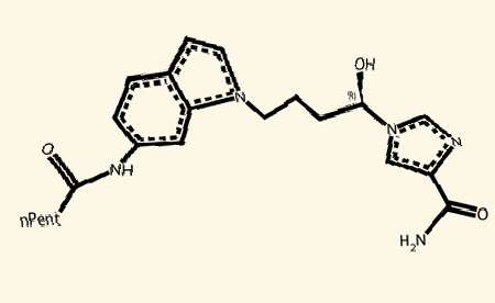 CCCCCC(=O)Nc1ccc2ccn(CCC[C@@H](O)n3cnc(C(N)=O)c3)c2c1